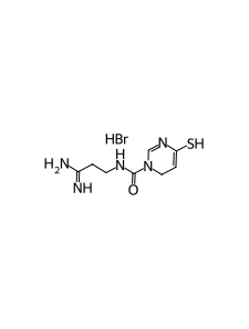 Br.N=C(N)CCNC(=O)N1C=NC(S)=CC1